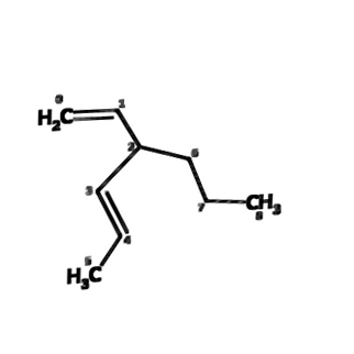 C=CC(C=CC)CCC